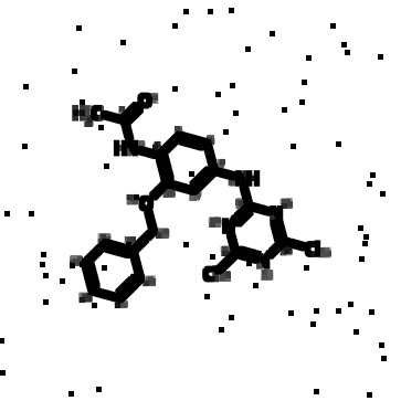 CC(=O)Nc1ccc(Nc2nc(Cl)nc(Cl)n2)cc1OCc1ccccc1